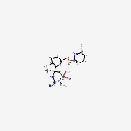 CN1C(=N)N[C@](C)(c2cc(COc3cccc(F)n3)ccc2F)CS1(=O)=O